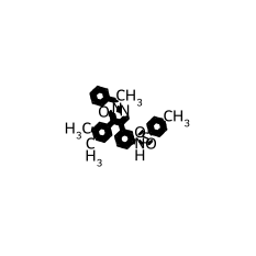 Cc1ccc(S(=O)(=O)Nc2cccc(-c3cnn(C(C)c4ccccc4)c(=O)c3-c3ccc(C)c(C)c3)c2)cc1